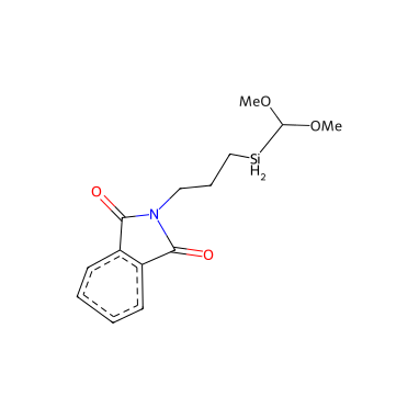 COC(OC)[SiH2]CCCN1C(=O)c2ccccc2C1=O